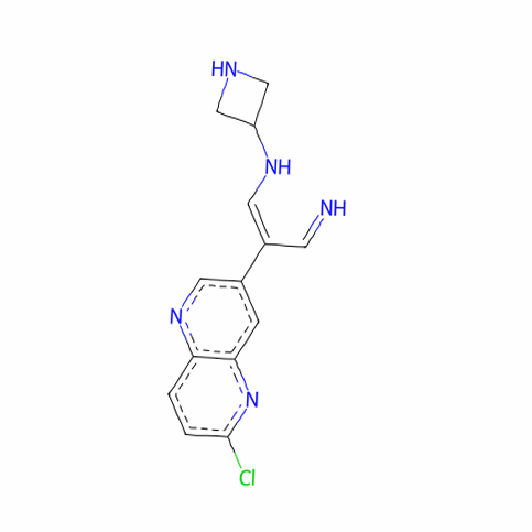 N=C/C(=C\NC1CNC1)c1cnc2ccc(Cl)nc2c1